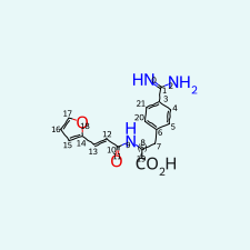 N=C(N)c1ccc(C[C@H](NC(=O)C=Cc2ccco2)C(=O)O)cc1